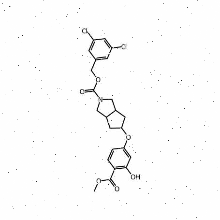 COC(=O)c1ccc(OC2CC3CN(C(=O)OCc4cc(Cl)cc(Cl)c4)CC3C2)cc1O